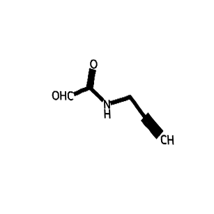 C#CCNC(=O)C=O